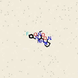 CCn1c(=O)c(C(=O)CN2CCCCC2CN(C)C)c(N)n(Cc2ccc(F)cc2)c1=O